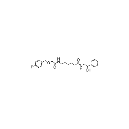 O=C(CCCCCNC(=O)COCc1ccc(F)cc1)NCC(O)c1ccccc1